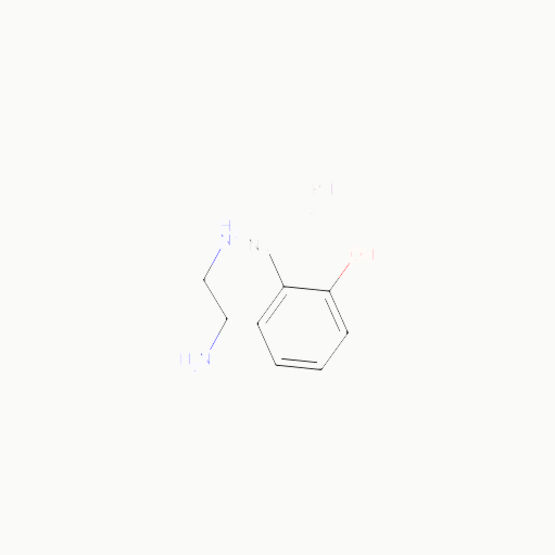 NCCN.Oc1cccc[c]1[Na].P.P